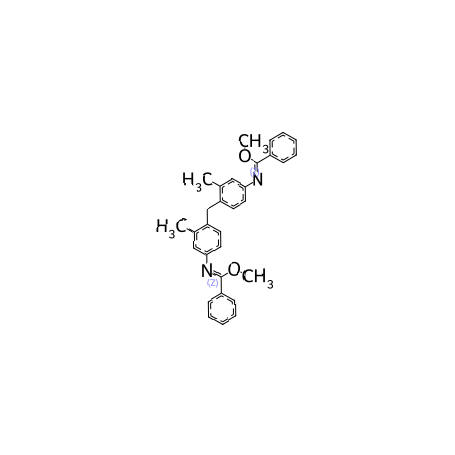 CO/C(=N\c1ccc(Cc2ccc(/N=C(\OC)c3ccccc3)cc2C)c(C)c1)c1ccccc1